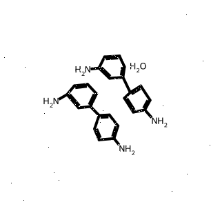 Nc1ccc(-c2cccc(N)c2)cc1.Nc1ccc(-c2cccc(N)c2)cc1.O